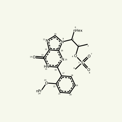 CCCCCCC(C(C)OS(C)(=O)=O)n1cnc2c(=O)[nH]c(-c3ccccc3OCCC)nc21